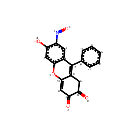 O=Nc1cc2c(cc1O)OC1=CC(=O)C(=O)CC1=C2c1ccccc1